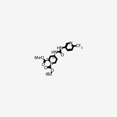 COC(=O)[C@H]1C[C@H](NC(=O)Nc2ccc(C(F)(F)F)nc2)CCN1C(=O)OC(C)(C)C